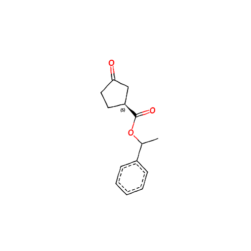 CC(OC(=O)[C@H]1CCC(=O)C1)c1ccccc1